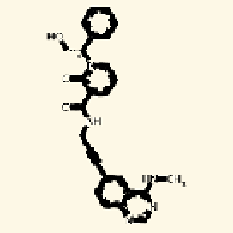 CNc1ncnc2ccc(C#CCNC(=O)c3cccn([C@H](CO)c4ccccc4)c3=O)cc12